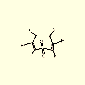 O=S(=O)(/C(F)=C(/F)CF)/C(F)=C(/F)CF